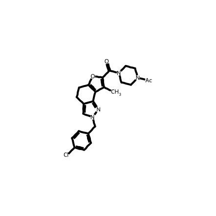 CC(=O)N1CCN(C(=O)c2oc3c(c2C)-c2nn(Cc4ccc(Cl)cc4)cc2CC3)CC1